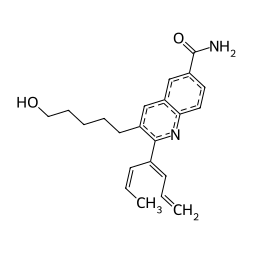 C=C/C=C(\C=C/C)c1nc2ccc(C(N)=O)cc2cc1CCCCCO